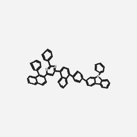 c1ccc(-c2nc(-c3ccc4ccccc4c3-c3ccccc3)cc(-c3ccc(-c4ccc(-c5ccc6c7ccccc7n(-c7ccccc7)c6c5)cc4)c4ccccc34)n2)cc1